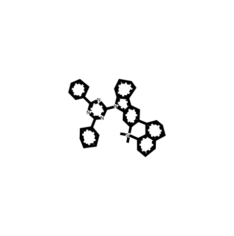 C[Si]1(C)c2cc3c(cc2-c2cccc4cccc1c24)c1ccccc1n3-c1nc(-c2ccccc2)nc(-c2ccccc2)n1